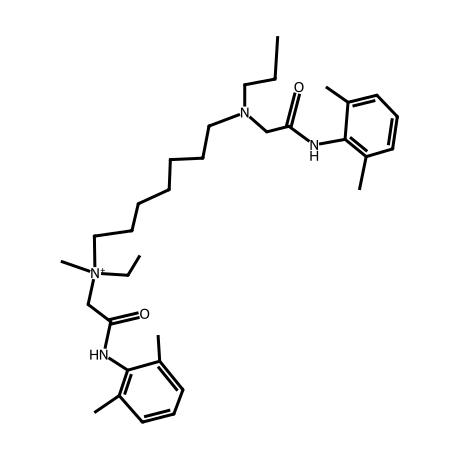 CCCN(CCCCCCC[N+](C)(CC)CC(=O)Nc1c(C)cccc1C)CC(=O)Nc1c(C)cccc1C